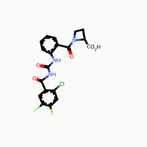 O=C(NC(=O)c1cc(F)c(F)cc1Cl)Nc1ccccc1C(=O)N1CCC1C(=O)O